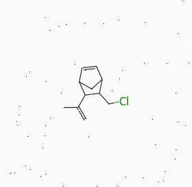 C=C(C)C1C2C=CC(C2)C1CCl